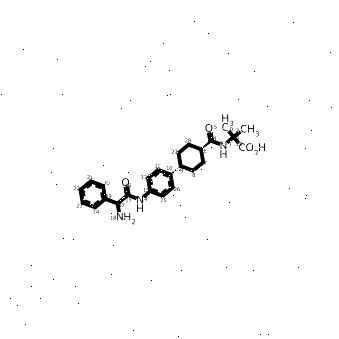 CC(C)(NC(=O)[C@H]1CC[C@H](c2ccc(NC(=O)C(N)c3ccccc3)cc2)CC1)C(=O)O